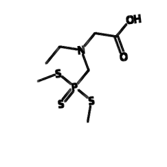 CCN(CC(=O)O)CP(=S)(SC)SC